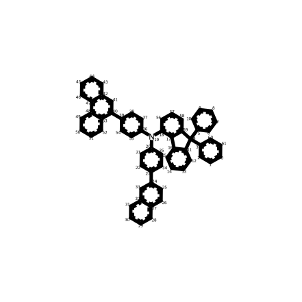 c1ccc(C2(c3ccccc3)c3ccccc3-c3c(N(c4ccc(-c5ccc6ccccc6c5)cc4)c4ccc(-c5cc6ccccc6c6ccccc56)cc4)cccc32)cc1